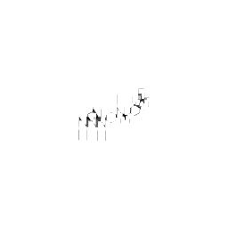 CNc1cc(C)nc(N[C@H]2CC[C@@H](NC(=O)c3ccc4c(c3)OC(F)(F)O4)CC2)n1